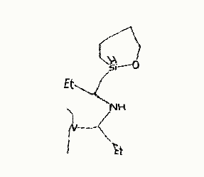 CCC(NC(CC)[SiH]1CCCCO1)N(C)C